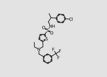 CCN(Cc1cccc(C(F)(F)F)c1)Cc1ccc(S(=O)(=O)NCC(C)c2ccc(Cl)cc2)s1